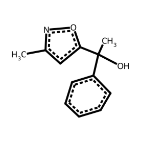 Cc1cc(C(C)(O)c2ccccc2)on1